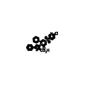 O=C(O)c1sc(-c2ccccc2)cc1N1C(=O)CN(S(=O)(=O)c2ccc(Cl)nc2)C[C@H]1C1CCCCC1